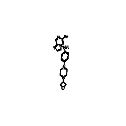 BrC1=C[N+]2(Nc3ccc(N4CCN(C5COC5)CC4)cc3)C=CN=C2C=N1